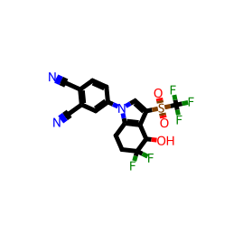 N#Cc1ccc(-n2cc(S(=O)(=O)C(F)(F)F)c3c2CCC(F)(F)C3O)cc1C#N